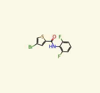 O=C(Nc1c(F)cccc1F)c1cc(Br)cs1